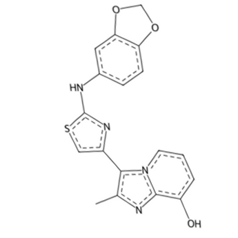 Cc1nc2c(O)cccn2c1-c1csc(Nc2ccc3c(c2)OCO3)n1